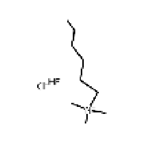 CCCCCC[N+](C)(C)C.F.[Cl-]